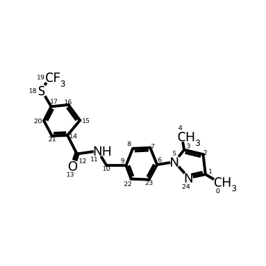 Cc1cc(C)n(-c2ccc(CNC(=O)c3ccc(SC(F)(F)F)cc3)cc2)n1